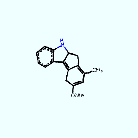 COC1=CC(C)=C2CC3Nc4ccccc4C3=C2C1